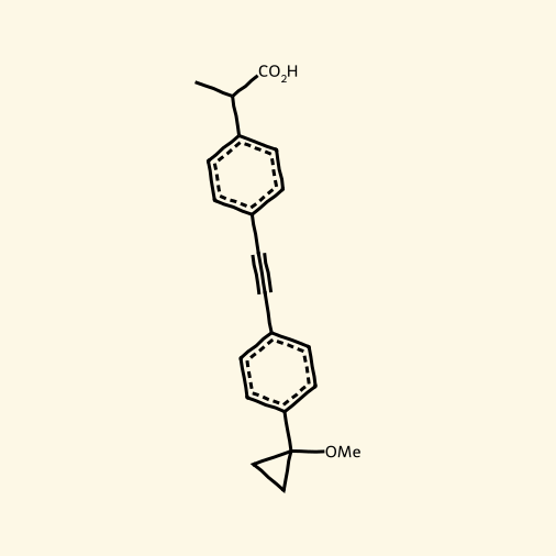 COC1(c2ccc(C#Cc3ccc(C(C)C(=O)O)cc3)cc2)CC1